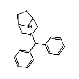 c1ccc(C(c2ccccc2)N2CC3CCC(C2)N3)cc1